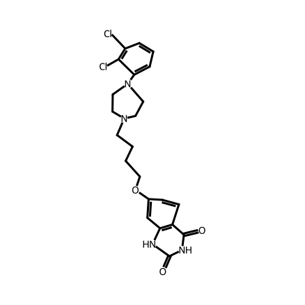 O=c1[nH]c(=O)c2ccc(OCCCCN3CCN(c4cccc(Cl)c4Cl)CC3)cc2[nH]1